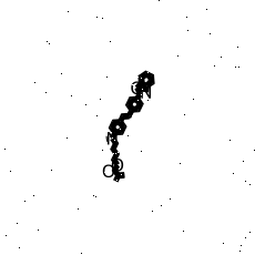 C=C(C)C(=O)OCCCCN(C)c1ccc(C=Cc2ccc(-c3nc4ccccc4o3)cc2)cc1